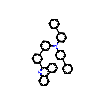 c1ccc(-c2ccc(N(c3cccc(-c4ccccc4)c3)c3cccc(-c4cccc(-c5nc6ccccc6c6ccccc56)c4)c3)cc2)cc1